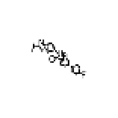 CC(C)c1cn2cc(NC(=O)c3ccc(-c4ccc(F)cc4)cn3)ccc2n1